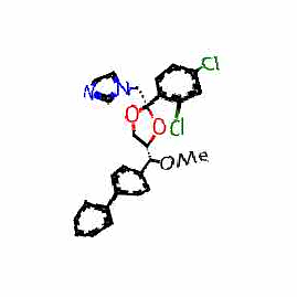 COC(c1ccc(-c2ccccc2)cc1)[C@@H]1CO[C@@](Cn2ccnc2)(c2ccc(Cl)cc2Cl)O1